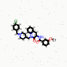 CCOc1cccc(C(=O)NC(Cc2ccccc2)C(=O)NCC2CCN(Cc3ccc(Cl)cc3)CC2)c1